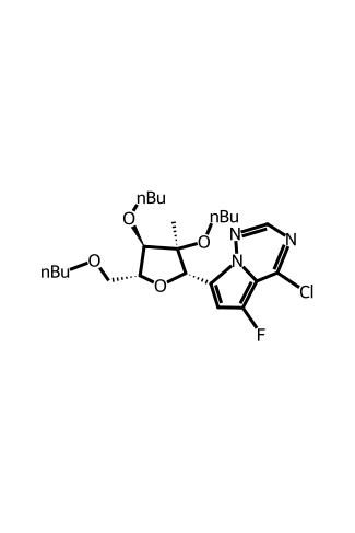 CCCCOC[C@H]1O[C@@H](c2cc(F)c3c(Cl)ncnn23)[C@](C)(OCCCC)[C@@H]1OCCCC